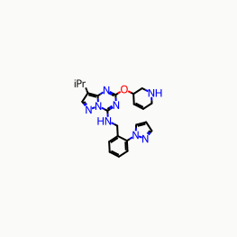 CC(C)c1cnn2c(NCc3ccccc3-n3cccn3)nc(OC3C=CCNC3)nc12